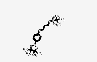 CC1(C)OB(c2ccc(OCCCO[Si](C)(C)C(C)(C)C)cc2)OC1(C)C